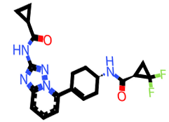 O=C(Nc1nc2cccc(C3=CC[C@@H](NC(=O)[C@H]4CC4(F)F)CC3)n2n1)C1CC1